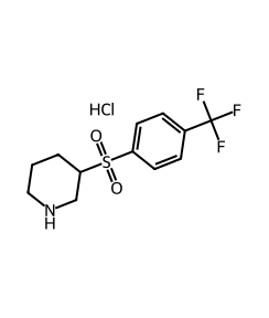 Cl.O=S(=O)(c1ccc(C(F)(F)F)cc1)C1CCCNC1